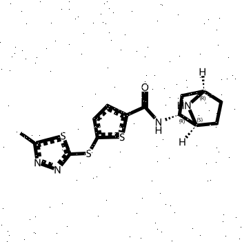 Cc1nnc(Sc2ccc(C(=O)N[C@@H]3C[C@H]4CC[C@@H]3N4)s2)s1